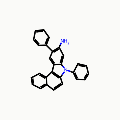 Nc1cc2c(cc1-c1ccccc1)c1c3ccccc3ccc1n2-c1ccccc1